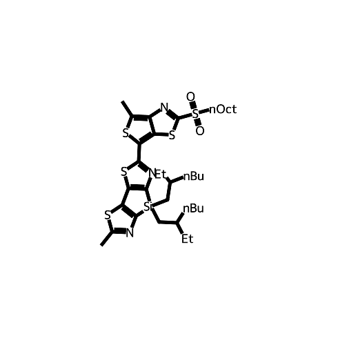 CCCCCCCCS(=O)(=O)c1nc2c(C)sc(-c3nc4c(s3)-c3sc(C)nc3[Si]4(CC(CC)CCCC)CC(CC)CCCC)c2s1